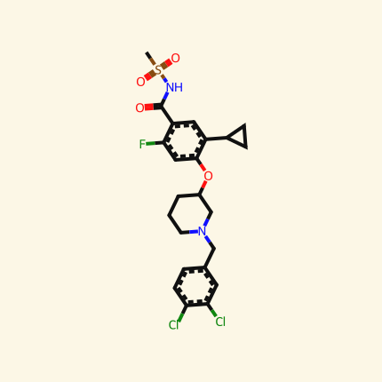 CS(=O)(=O)NC(=O)c1cc(C2CC2)c(OC2CCCN(Cc3ccc(Cl)c(Cl)c3)C2)cc1F